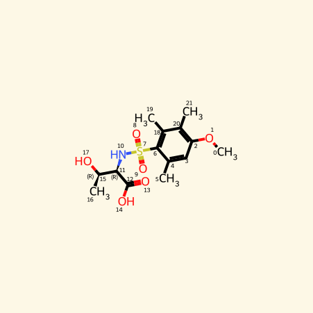 COc1cc(C)c(S(=O)(=O)N[C@@H](C(=O)O)[C@@H](C)O)c(C)c1C